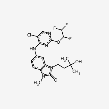 Cn1c(=O)n(CCC(C)(C)O)c2cc(Nc3nc(OC(F)C(F)F)ncc3Cl)ccc21